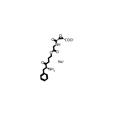 N[C@@H](Cc1ccccc1)C(=O)CCCOC(=O)CNC(=O)[C@H]1O[C@@H]1C(=O)[O-].[Na+]